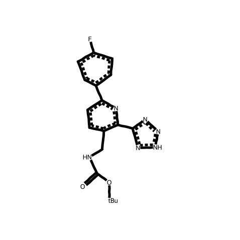 CC(C)(C)OC(=O)NCc1ccc(-c2ccc(F)cc2)nc1-c1nn[nH]n1